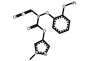 CC(C)Oc1ccccc1ON(C=C=O)C(=O)Oc1cnn(C)c1